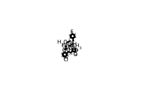 C[C@@H]1CN(Cc2ccc(F)cc2)[C@@H](C)CN1C(=O)COc1ccc(Cl)cc1C(=O)CC1C(=O)NOC1=O